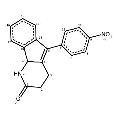 O=C1CCC2=C(c3ccc([N+](=O)[O-])cc3)c3ccccc3C2N1